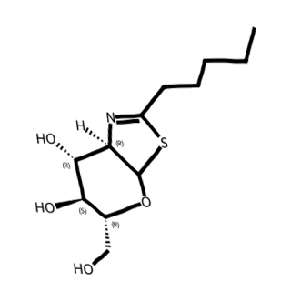 CCCCCC1=N[C@H]2C(O[C@H](CO)[C@@H](O)[C@@H]2O)S1